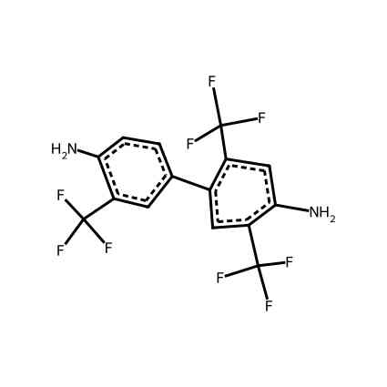 Nc1ccc(-c2cc(C(F)(F)F)c(N)cc2C(F)(F)F)cc1C(F)(F)F